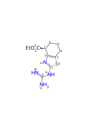 CCOC(=O)[C@H]1CCCc2sc(NC(=N)N)nc21